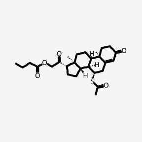 CCCC(=O)OCC(=O)[C@H]1CC[C@H]2[C@@H]3[C@H](SC(C)=O)CC4=CC(=O)CC[C@]4(C)[C@H]3CC[C@]12C